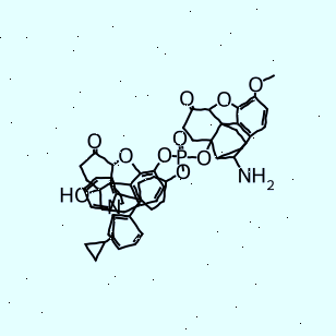 COc1ccc2c3c1OC1C(=O)CCC4(OP(=O)(Oc5ccc6c7c5OC5C(=O)CCC8(O)C(C6)N(CC6CC6)CCC758)OC5CCC(c6ccccc6)(c6ccccc6)CC5)C(C2)C(N)CCC314